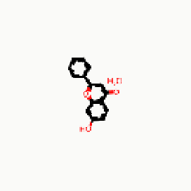 O.O=c1cc(-c2ccccc2)oc2cc(O)ccc12